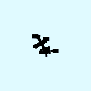 CO.Cl.O=P(O)(O)O.[KH]